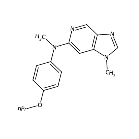 CCCOc1ccc(N(C)c2cc3c(cn2)ncn3C)cc1